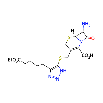 CCOC(=O)C(C)CCCc1nn[nH]c1SCC1=C(C(=O)O)N2C(=O)C(N)[C@@H]2SC1